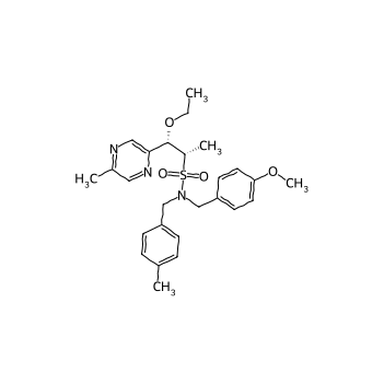 CCO[C@@H](c1cnc(C)cn1)[C@H](C)S(=O)(=O)N(Cc1ccc(C)cc1)Cc1ccc(OC)cc1